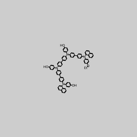 CCOc1ccc(N(c2ccc(-c3ccc(N(c4ccc(O)cc4)c4ccc(-c5ccc(N(c6ccc(O)cc6)c6ccc(-c7ccc(N(c8ccc(O)cc8)c8cccc9ccccc89)cc7)cc6)cc5)cc4)cc3)cc2)c2cccc3ccccc23)cc1